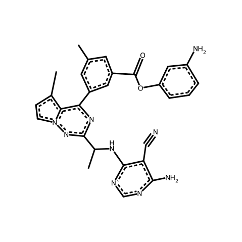 Cc1cc(C(=O)Oc2cccc(N)c2)cc(-c2nc(C(C)Nc3ncnc(N)c3C#N)nn3ccc(C)c23)c1